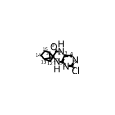 O=C1Nc2cnc(Cl)nc2NC12CC1CCC2C1